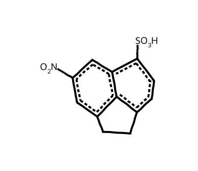 O=[N+]([O-])c1cc2c3c(ccc(S(=O)(=O)O)c3c1)CC2